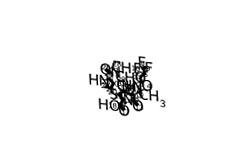 CC(NC(=O)OCC(F)(F)F)[C@H]1C(=O)N2C(C(=O)O)=C(S[C@@H]3CN[C@H](C(=O)N(C)C)C3)[C@H](C)[C@H]12